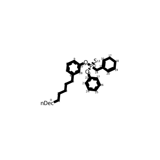 CCCCCCCCCCCCCCCc1cccc(OP(=S)(CC2=CCCC=C2)Oc2ccccc2)c1